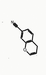 N#Cc1ccc2c(c1)OC=CC2